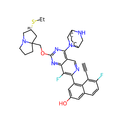 C#Cc1c(F)ccc2cc(O)cc(-c3ncc4c(N5CC6CCCC5CN6)nc(OCC56CCCN5C[C@H](SCC)C6)nc4c3F)c12